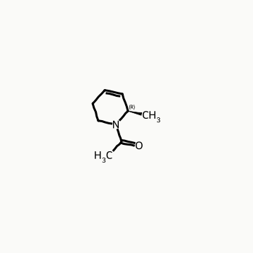 CC(=O)N1CCC=C[C@H]1C